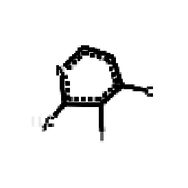 Cc1nccc(Cl)c1I